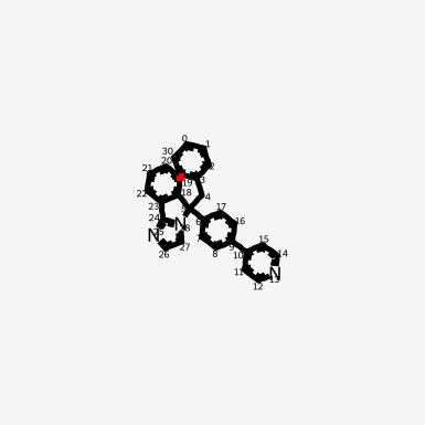 c1ccc(CC2(c3ccc(-c4ccncc4)cc3)c3ccccc3-c3nccn32)cc1